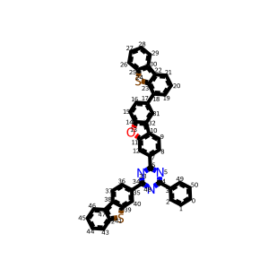 c1ccc(-c2nc(-c3ccc4c(c3)oc3ccc(-c5cccc6c5sc5ccccc56)cc34)nc(-c3ccc4c(c3)sc3ccccc34)n2)cc1